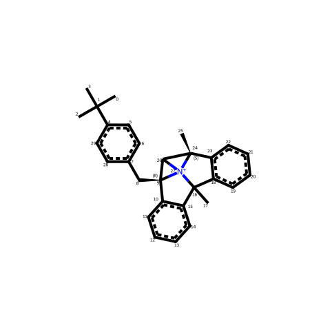 CC(C)(C)c1ccc(C[C@@]23c4ccccc4C4(C)c5ccccc5[C@@]5(C)C2[N+]453)cc1